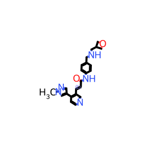 Cn1cc(-c2ccncc2/C=C/C(=O)Nc2ccc(CNCC3COC3)cc2)cn1